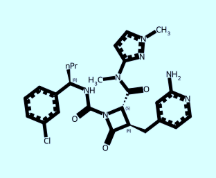 CCC[C@@H](NC(=O)N1C(=O)[C@H](Cc2ccnc(N)c2)[C@H]1C(=O)N(C)c1ccn(C)n1)c1cccc(Cl)c1